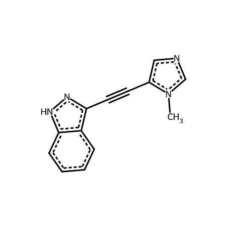 Cn1cncc1C#Cc1n[nH]c2ccccc12